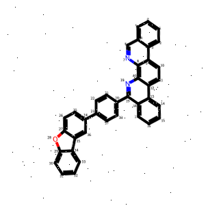 c1ccc2c(c1)cnc1c2ccc2c3ccccc3c(-c3ccc(-c4ccc5oc6ccccc6c5c4)cc3)nc21